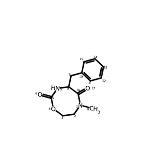 CN1CCOC(=O)NC(Cc2ccccc2)C1=O